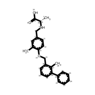 Cc1cc(CN[C@@H](C)C(=O)O)ccc1OCc1cccc(-c2ccccc2)c1C